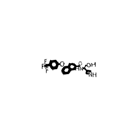 O=C(N[C@@H](CO)C1CNC1)c1ccc2c(Oc3ccc(C(F)(F)F)cc3)cccc2c1